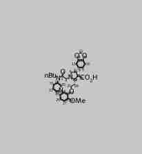 CCCCN(C(=O)CN1C[C@H](c2ccc3c(c2)OCO3)[C@@H](C(=O)O)[C@@H]1CCOc1ccccc1OC)c1cccnc1